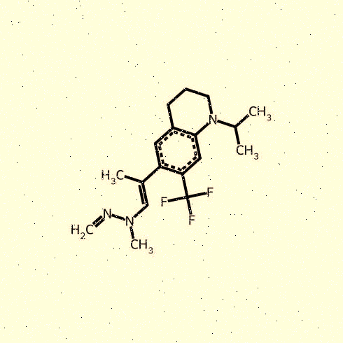 C=NN(C)/C=C(\C)c1cc2c(cc1C(F)(F)F)N(C(C)C)CCC2